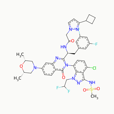 C[C@@H]1CN(c2ccc3c(=O)n(-c4ccc(Cl)c5c(NS(C)(=O)=O)nn(CC(F)F)c45)c([C@H](Cc4cc(F)cc(F)c4)NC(=O)Cn4ccc(C5CCC5)n4)nc3c2)C[C@H](C)O1